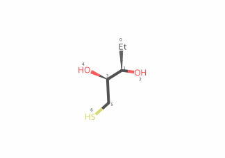 CC[C@@H](O)[C@H](O)CS